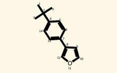 CC(C)(C)c1ccc(-c2ccoc2)cc1